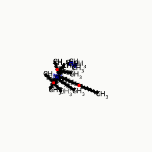 CCCCCCCCCCCCCCCCCCCCCCC=CC1=C(c2cc(CCCCCC)c(CCCC)c(CCCCCC)c2)[N+](=[N-])C(c2cc(CCCCCC)c(CCCC)c(CCCCCC)c2)=C1CCCCCCCCCCC.CC[N](C)[Ni][N](C)CC